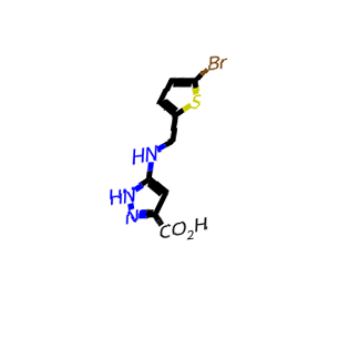 O=C(O)c1cc(NCc2ccc(Br)s2)[nH]n1